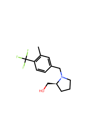 Cc1cc(CN2CCC[C@H]2CO)ccc1C(F)(F)F